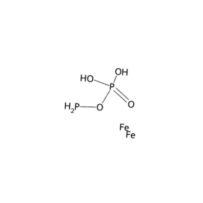 O=P(O)(O)OP.[Fe].[Fe]